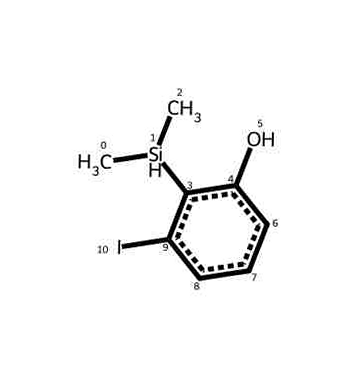 C[SiH](C)c1c(O)cccc1I